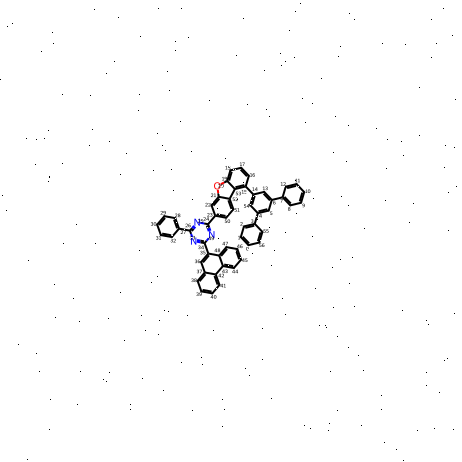 c1ccc(-c2cc(-c3ccccc3)cc(-c3cccc4oc5cc(-c6nc(-c7ccccc7)nc(-c7cc8ccccc8c8ccccc78)n6)ccc5c34)c2)cc1